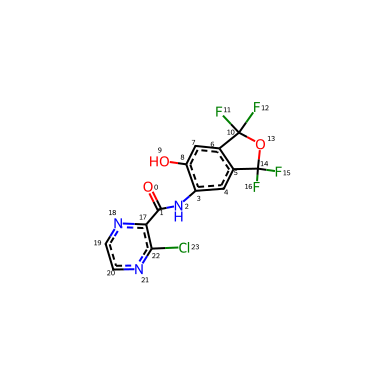 O=C(Nc1cc2c(cc1O)C(F)(F)OC2(F)F)c1nccnc1Cl